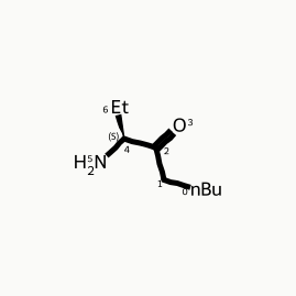 CCCCCC(=O)[C@@H](N)CC